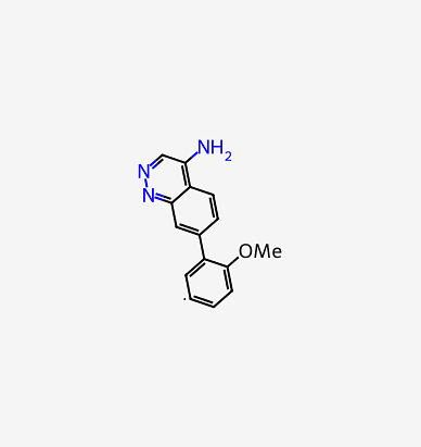 COc1cc[c]cc1-c1ccc2c(N)cnnc2c1